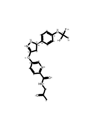 CC(=O)CNC(=O)c1ccc(OC2=NO[C@@H](c3ccc(OC(F)(F)F)cc3)C2)cn1